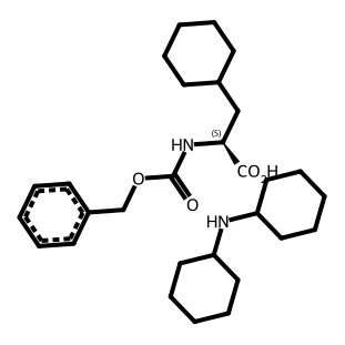 C1CCC(NC2CCCCC2)CC1.O=C(N[C@@H](CC1CCCCC1)C(=O)O)OCc1ccccc1